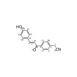 N#CCc1ccc(C(=O)/C=C/c2ccc(O)cc2)cc1